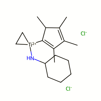 CC1=C(C)C(C)[C]([Ti+2]2([NH]C3CCCCC3)[CH2][CH2]2)=C1C.[Cl-].[Cl-]